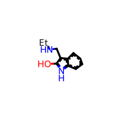 CCNCc1c(O)[nH]c2ccccc12